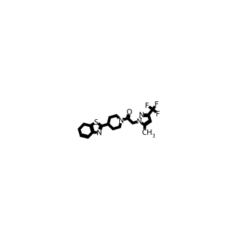 Cc1cc(C(F)(F)F)nn1CC(=O)N1CCC(c2nc3c(s2)CCC=C3)CC1